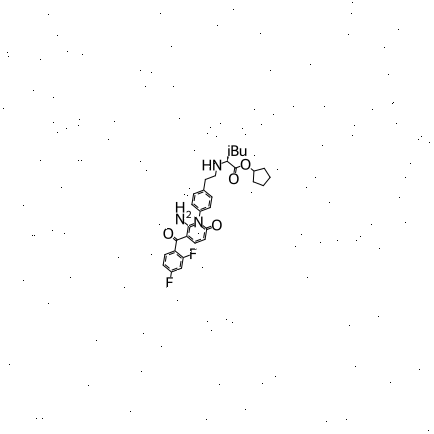 CCC(C)[C@H](NCCc1ccc(-n2c(N)c(C(=O)c3ccc(F)cc3F)ccc2=O)cc1)C(=O)OC1CCCC1